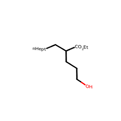 CCCCCCCCC(CCCO)C(=O)OCC